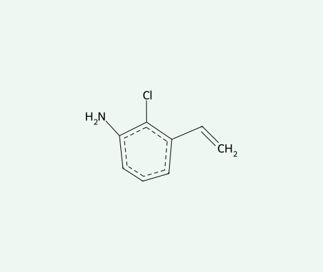 C=Cc1cccc(N)c1Cl